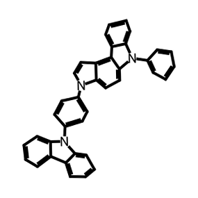 c1ccc(-n2c3ccccc3c3c4ccn(-c5ccc(-n6c7ccccc7c7ccccc76)cc5)c4ccc32)cc1